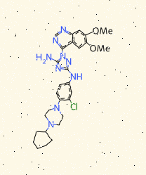 COc1cc2ncnc(-n3nc(Nc4ccc(N5CCN(C6CCCCC6)CC5)c(Cl)c4)nc3N)c2cc1OC